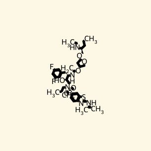 C=C(N[C@@H](Cc1cc(F)cc(F)c1)[C@H](O)CN(CC(C)C)S(=O)(=O)c1ccc2nc(NC(C)C)sc2c1)OC1CO[C@@H](OC[C@H](CCC)NCC)C1